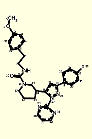 COc1ccc(CCNC(=O)N2CCCC(c3cc(-c4ccc(F)cc4)nn3-c3ncccn3)C2)cc1